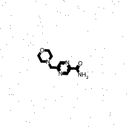 NC(=O)c1cnc(CN2CCOCC2)cn1